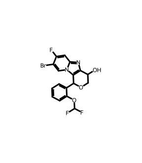 OC1COC(c2ccccc2OC(F)F)c2c1nc1cc(F)c(Br)cn21